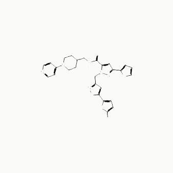 O=C(NCC1CCN(c2ccncc2)CC1)c1cc(-c2cccs2)nn1Cc1cc(-c2ccc(Cl)s2)on1